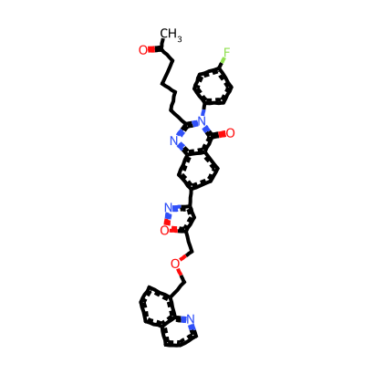 CC(=O)CCCCc1nc2cc(-c3cc(COCc4cccc5cccnc45)on3)ccc2c(=O)n1-c1ccc(F)cc1